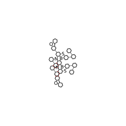 c1ccc(-c2ccccc2-c2ccc3c(c2)Sc2cc(-c4ccc5oc6ccccc6c5c4)cc4c2B3c2cc3c(cc2N4c2ccccc2-c2ccccc2)N(c2ccccc2-c2ccccc2)c2cc(-c4ccc5oc6ccccc6c5c4)cc4c2B3c2ccc(-c3ccccc3-c3ccccc3)cc2S4)cc1